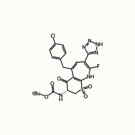 CC(C)(C)OC(=O)N[C@H]1CS(=O)(=O)C2=C(C1=O)C(Cc1ccc(Cl)cc1)=CC(c1nn[nH]n1)=C(F)N2